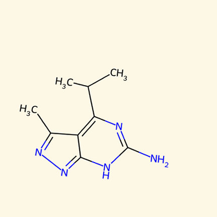 Cc1nnc2[nH]c(N)nc(C(C)C)c1-2